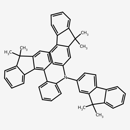 CC1(C)c2ccccc2-c2ccc(N(c3ccc4c(c3)C(C)(C)c3ccccc3-4)c3ccccc3-c3cccc4c3-c3ccccc3C4(C)C)cc21